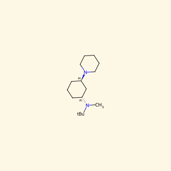 CN([C@@H]1CCC[C@@H](N2CCCCC2)C1)C(C)(C)C